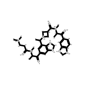 CC(c1cc(C(=O)C(C)N(C)C(=O)CCN(C)C)cc2c1OCO2)N1CC(C(=O)N(C)C(C)C(=O)c2ccc3c(c2)OCO3)C1